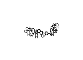 COC(=O)N[C@H](C(=O)N1C(c2ncc(-c3ccc4c(c3)COc3cc5c(ccc6nc(C7C[C@H](C)CN7C(=O)[C@@H](NC(=O)OC)C(C)(C)C)[nH]c65)cc3-4)[nH]2)CC[C@@H]1C)C(C)C